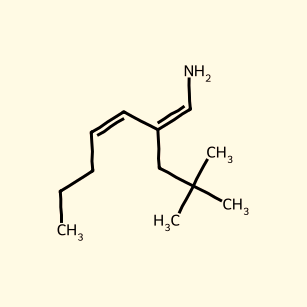 CCC/C=C\C(=C/N)CC(C)(C)C